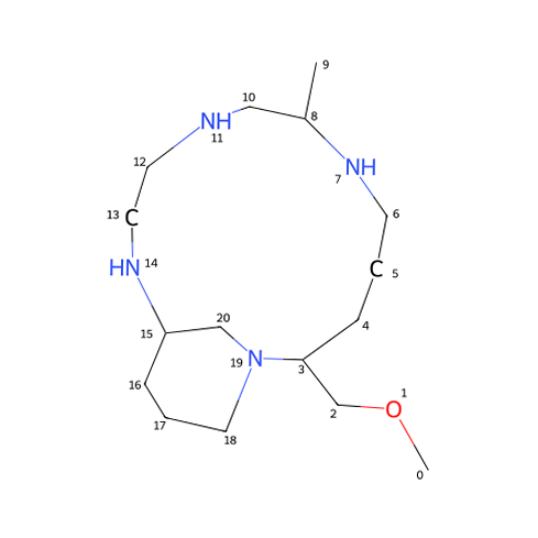 COCC1CCCNC(C)CNCCNC2CCCN1C2